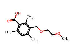 COCCOCc1c(C)cc(C)c(C(=O)O)c1C